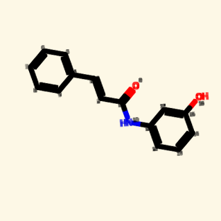 O=C(C=Cc1ccccc1)Nc1cccc(O)c1